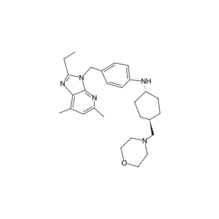 CCc1nc2c(C)cc(C)nc2n1Cc1ccc(N[C@H]2CC[C@H](CN3CCOCC3)CC2)cc1